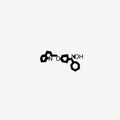 ON=C(c1ccc(OCc2ccc3ccccc3n2)cc1)C1CCCCCC1